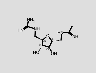 CC(=N)NC[C@H]1O[C@H](CNC(=N)N)[C@@H](O)[C@@H]1O